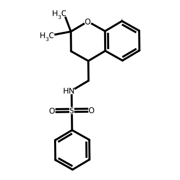 CC1(C)CC(CNS(=O)(=O)c2ccccc2)c2ccc[c]c2O1